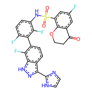 O=C1CCOc2c1cc(F)cc2S(=O)(=O)Nc1ccc(F)c(-c2ccc3c(-c4ncc[nH]4)n[nH]c3c2F)c1F